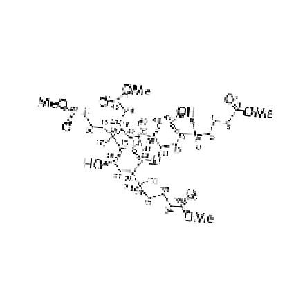 COC(=O)CCCC(C)(C)c1cc(Oc2cc(C(C)(C)CCCC(=O)OC)c(O)cc2C(C)(C)CCCC(=O)OC)c(C(C)(C)CCCC(=O)OC)cc1O